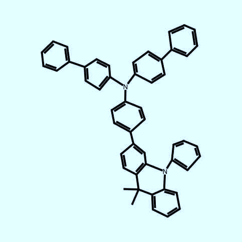 CC1(C)c2ccccc2N(c2ccccc2)c2cc(-c3ccc(N(c4ccc(-c5ccccc5)cc4)c4ccc(-c5ccccc5)cc4)cc3)ccc21